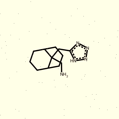 NCC1(Cc2nnn[nH]2)C2CCCC1CCC2